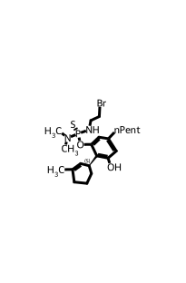 CCCCCc1cc(O)c([C@@H]2C=C(C)CCC2)c(OP(=S)(NCCBr)N(C)C)c1